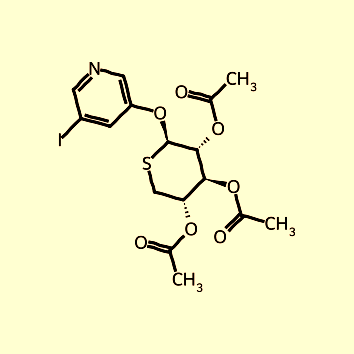 CC(=O)O[C@@H]1[C@@H](OC(C)=O)[C@H](OC(C)=O)CS[C@H]1Oc1cncc(I)c1